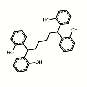 Oc1ccccc1C(CCCCC(c1ccccc1O)c1ccccc1O)c1ccccc1O